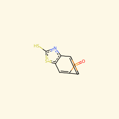 O=P12C3=Cc4sc(S)nc4C1=C32